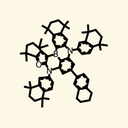 CC1(C)CCC(C)(C)c2cc(N3c4cc5c(cc4B4c6c3cc(-c3ccc7c(c3)CCCC7)cc6N(c3ccc6c(c3)C(C)(C)CCC6(C)C)c3oc6c(c34)C(C)(C)CCC6(C)C)C(C)(C)CCC5(C)C)ccc21